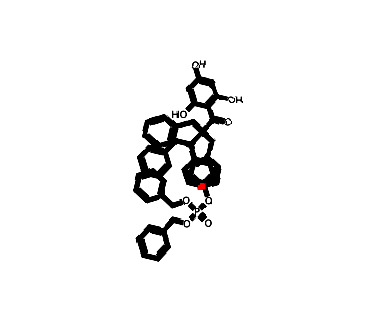 O=C(c1c(O)cc(O)cc1O)C(Cc1ccccc1)(Cc1ccccc1)C(Cc1ccccc1)c1ccc(OP(=O)(OCc2ccccc2)OCc2ccccc2)cc1